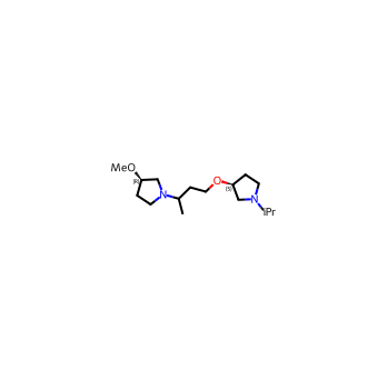 CO[C@@H]1CCN(C(C)CCO[C@H]2CCN(C(C)C)C2)C1